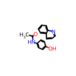 CC(=O)Nc1ccc(O)cc1.c1ccc2ncccc2c1